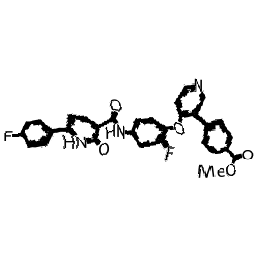 COC(=O)c1ccc(-c2cnccc2Oc2ccc(NC(=O)c3ccc(-c4ccc(F)cc4)[nH]c3=O)cc2F)cc1